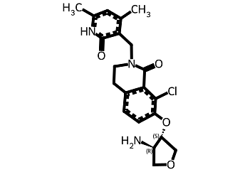 Cc1cc(C)c(CN2CCc3ccc(O[C@@H]4COC[C@H]4N)c(Cl)c3C2=O)c(=O)[nH]1